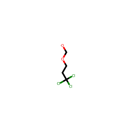 [O]COCCC(Cl)(Cl)Cl